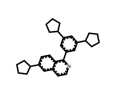 c1cc2cc(C3CCCC3)ccc2c(-c2cc(C3CCCC3)cc(C3CCCC3)c2)n1